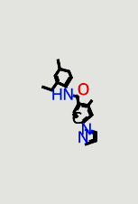 CCC1=CC(C)CC=C1NC(=O)c1ccc(-n2cccn2)cc1C